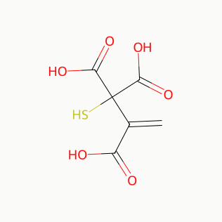 C=C(C(=O)O)C(S)(C(=O)O)C(=O)O